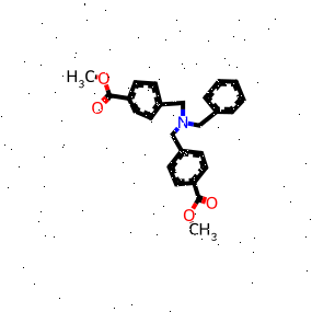 COC(=O)c1ccc(CN(Cc2ccccc2)Cc2ccc(C(=O)OC)cc2)cc1